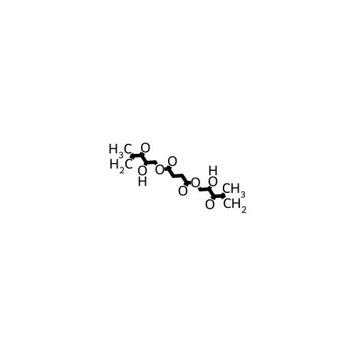 C=C(C)C(=O)C(O)COC(=O)CCC(=O)OCC(O)C(=O)C(=C)C